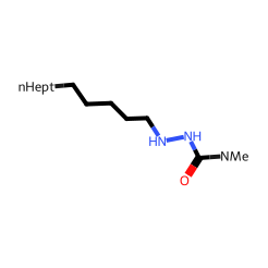 CCCCCCCCCCCCNNC(=O)NC